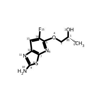 C[C@@H](O)COc1nc2sc(N)nc2cc1F